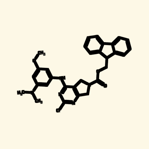 COc1cc(Nc2nc(Cl)nc3c2CN(C(=O)OCC2c4ccccc4-c4ccccc42)C3)cc(N(C)C)c1